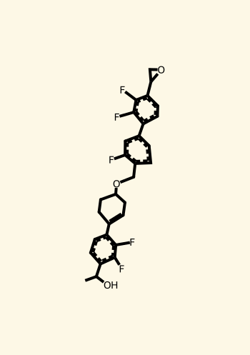 CC(O)c1ccc(C2=CCC(OCc3ccc(-c4ccc(C5CO5)c(F)c4F)cc3F)CC2)c(F)c1F